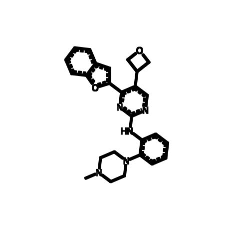 CN1CCN(c2ccccc2Nc2ncc(C3COC3)c(-c3cc4ccccc4o3)n2)CC1